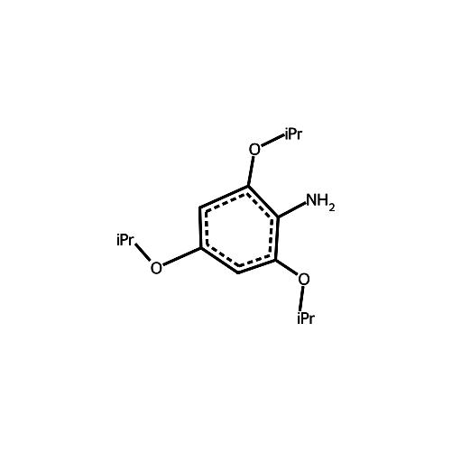 CC(C)Oc1cc(OC(C)C)c(N)c(OC(C)C)c1